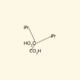 CC(C)CCCCCCCCCCCCCC(CCCCCCCCCCCCCC(C)C)(CCCCCCC(=O)O)C(=O)O